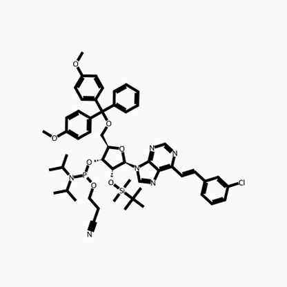 COc1ccc(C(OC[C@H]2O[C@@H](n3cnc4c(/C=C/c5cccc(Cl)c5)ncnc43)[C@H](O[Si](C)(C)C(C)(C)C)[C@@H]2OP(OCCC#N)N(C(C)C)C(C)C)(c2ccccc2)c2ccc(OC)cc2)cc1